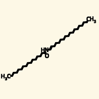 CCCCCCCCCCCCCCCCC=CNC(=O)CCCCCCCCCCCCCCC